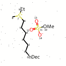 CCCCCCCCCCCCCCCC[S+](C)CC.COS(=O)(=O)[O-]